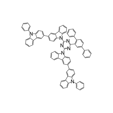 c1ccc(-c2ccc(-c3ccccc3)c(-c3nc(-n4c5ccccc5c5cc(-c6ccc7c(c6)c6ccccc6n7-c6ccccc6)ccc54)nc(-n4c5ccccc5c5cc(-c6ccc7c(c6)c6ccccc6n7-c6ccccc6)ccc54)n3)c2)cc1